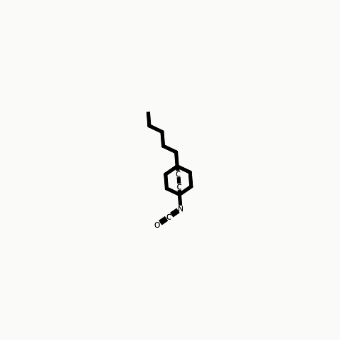 CCCCCC12CCC(N=C=O)(CC1)CC2